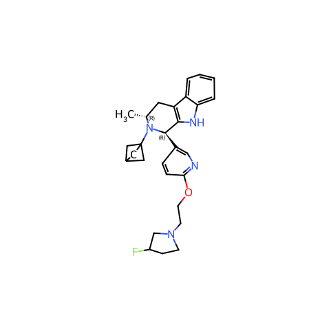 C[C@@H]1Cc2c([nH]c3ccccc23)[C@@H](c2ccc(OCCN3CCC(F)C3)nc2)N1C12CC(C1)C2